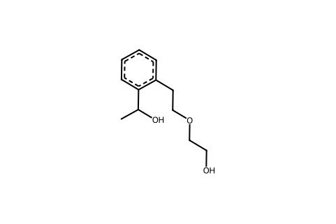 CC(O)c1ccccc1CCOCCO